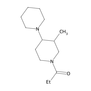 CCC(=O)N1CCC(N2CCCCC2)C(C)C1